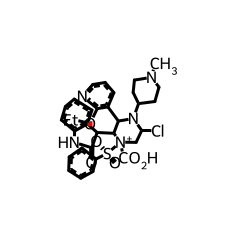 CCOc1ncccc1C1C(C2C(=O)Nc3ccccc32)[N+](C(=O)O)(S(=O)(=O)c2ccccc2)CC(Cl)N1C1CCN(C)CC1